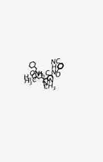 Cc1c(NC(=O)c2cccc(C#N)c2)cnc2c1c(C1CCN(C(=O)CC3CCCCC3)C(C)(C)C1)cn2C